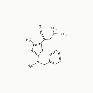 Cc1nc(N(C)Cc2ccccc2)sc1C(=C=O)CN(C)C